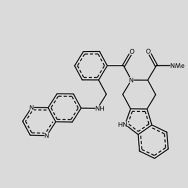 CNC(=O)C1Cc2c([nH]c3ccccc23)CN1C(=O)c1ccccc1CNc1ccc2nccnc2c1